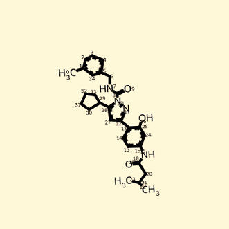 Cc1cccc(CNC(=O)n2nc(-c3ccc(NC(=O)CC(C)C)cc3O)cc2C2CCCC2)c1